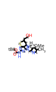 COc1c(C)cnc(Cn2nc3c4c(nc(NC(=O)OC(C)(C)C)nc42)SCC(CCO)=C3)c1C